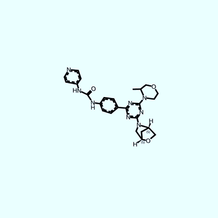 CC1COCCN1c1nc(-c2ccc(NC(=O)Nc3ccncc3)cc2)nc(N2C[C@@H]3C[C@H]2CO3)n1